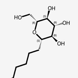 CCCCCC[C@@H]1O[C@H](CO)[C@@H](O)[C@H](O)[C@H]1O